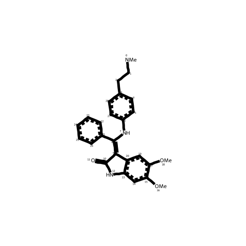 CNCCc1ccc(NC(=C2C(=O)Nc3cc(OC)c(OC)cc32)c2ccccc2)cc1